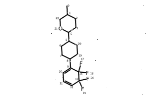 CC1CCC(C2CCC(C3=CC=CC(F)(F)C3(F)F)CC2)OC1